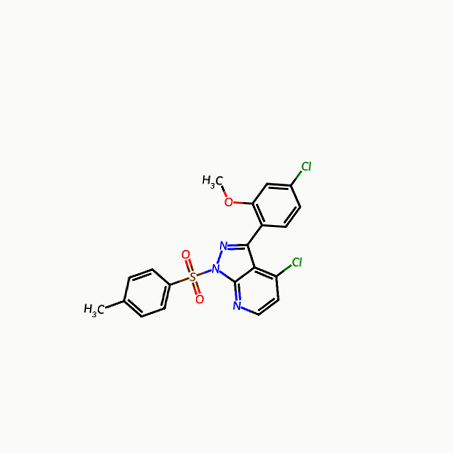 COc1cc(Cl)ccc1-c1nn(S(=O)(=O)c2ccc(C)cc2)c2nccc(Cl)c12